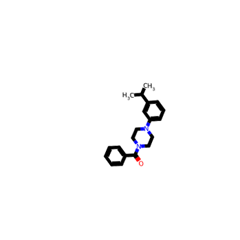 CC(C)c1cccc(N2CCN(C(=O)c3ccccc3)CC2)c1